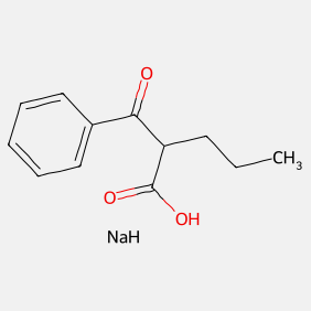 CCCC(C(=O)O)C(=O)c1ccccc1.[NaH]